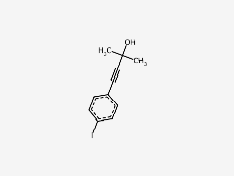 CC(C)(O)C#Cc1ccc(I)cc1